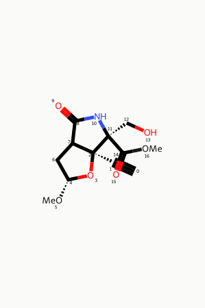 C#C[C@]12O[C@H](OC)CC1C(=O)N[C@@]2(CO)C(=O)OC